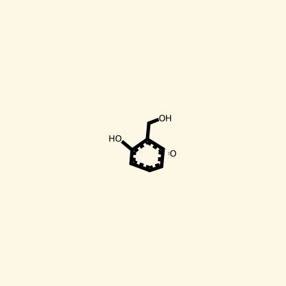 OCc1ccccc1O.[O]